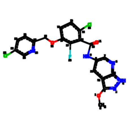 COc1n[nH]c2ncc(NC(=O)c3c(Cl)ccc(OCc4ccc(Cl)cn4)c3F)cc12